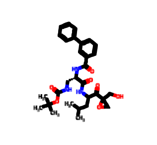 CC(C)CC(NC(=O)[C@H](CNC(=O)OC(C)(C)C)NC(=O)c1cccc(-c2ccccc2)c1)C(=O)C1(CO)CO1